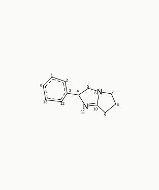 c1ccc(C2CN3CCCC3=N2)cc1